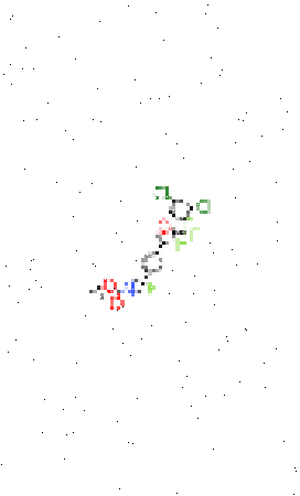 CC(C)(C)OC(=O)N1CC(F)(c2ccc(C3=COC(c4cc(Cl)cc(Cl)c4)(C(F)(F)F)C3)cc2)C1